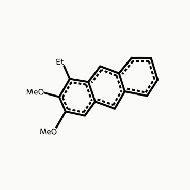 CCc1c(OC)c(OC)cc2cc3ccccc3cc12